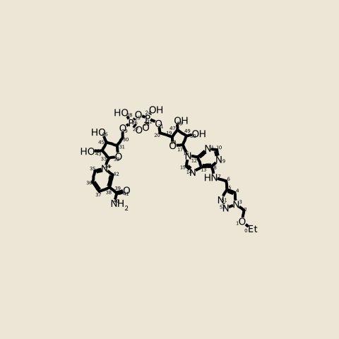 CCOCn1cc(CNc2ncnc3c2ncn3C2OC(COP(=O)(O)OP(=O)(O)OCC3OC([n+]4cccc(C(N)=O)c4)C(O)C3O)C(O)C2O)nn1